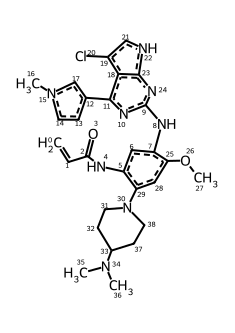 C=CC(=O)Nc1cc(Nc2nc(-c3ccn(C)c3)c3c(Cl)c[nH]c3n2)c(OC)cc1N1CCC(N(C)C)CC1